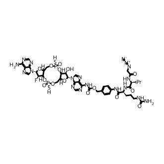 CC(C)[C@H](NC(=O)CN=[N+]=[N-])C(=O)N[C@@H](CCCNC(N)=O)C(=O)Nc1ccc(COC(=O)Nc2ncnc3c2ncn3[C@@H]2O[C@@H]3CO[P@@](=O)(S)O[C@H]4[C@@H](F)[C@H](n5cnc6c(N)ncnc65)O[C@@H]4CO[P@@](=O)(S)O[C@H]3[C@H]2O)cc1